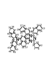 c1ccc(-c2nc(-c3ccc4ccccc4c3)nc(-c3c(-c4cccc5ccccc45)cc(-n4c5cc6ccccc6cc5c5cc6ccccc6cc54)c4ccccc34)n2)cc1